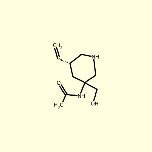 C=C[C@@H]1CNCC(CO)(NC(C)=O)C1